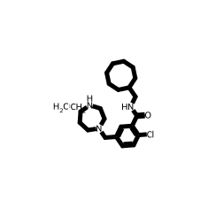 O=C(NC[C]1CCCCCCC1)c1cc(CN2CCCNCC2)ccc1Cl.[CH2].[CH2]